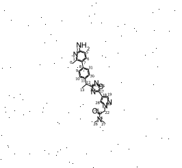 Cc1nc(N)ccc1-c1ccc(C(C)c2noc(-c3cnn(CC(=O)N(C)C)c3)n2)cc1